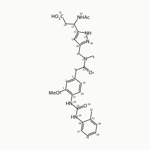 COc1cc(CC(=O)N(C)Cc2cc(C(CC(=O)O)NC(C)=O)[nH]n2)ccc1NC(=O)Nc1ccccc1C